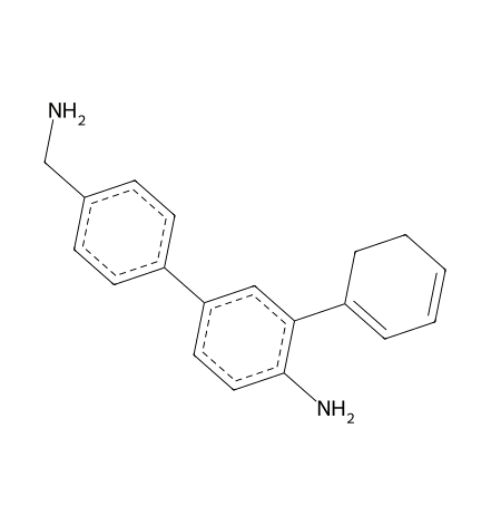 NCc1ccc(-c2ccc(N)c(C3=CC=CCC3)c2)cc1